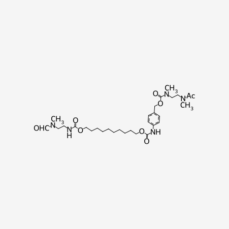 CC(=O)N(C)CCN(C)C(=O)OCc1ccc(NC(=O)OCCCCCCCCCCOC(=O)NCCN(C)C=O)cc1